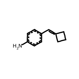 Nc1ccc(C=C2CCC2)cc1